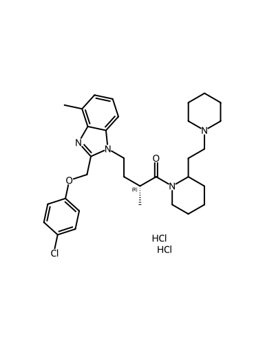 Cc1cccc2c1nc(COc1ccc(Cl)cc1)n2CC[C@@H](C)C(=O)N1CCCCC1CCN1CCCCC1.Cl.Cl